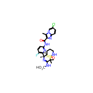 Cc1c(C(=O)Nc2ccc(F)c([C@@]3(C)N=C(NC(=O)O)C(C)(C)[SH]4(=O)NCCC[C@H]34)n2)nc2ccc(Cl)cn12